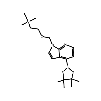 CC1(C)OB(c2ccnc3c2ccn3COCC[Si](C)(C)C)OC1(C)C